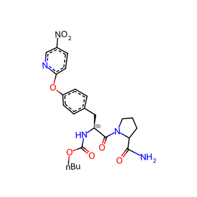 CCCCOC(=O)N[C@@H](Cc1ccc(Oc2ccc([N+](=O)[O-])cn2)cc1)C(=O)N1CCCC1C(N)=O